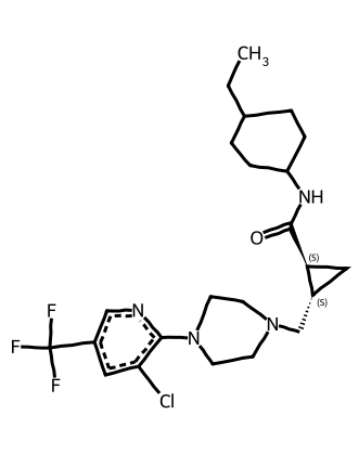 CCC1CCC(NC(=O)[C@H]2C[C@@H]2CN2CCN(c3ncc(C(F)(F)F)cc3Cl)CC2)CC1